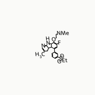 CCS(=O)(=O)c1cccc(C2=CC(F)=C(OCCNC)C3NC4=NC=C(C)CC4C23)c1